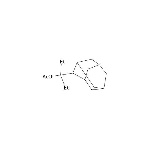 CCC(CC)(OC(C)=O)C1C2CC3CC(C2)CC1C3